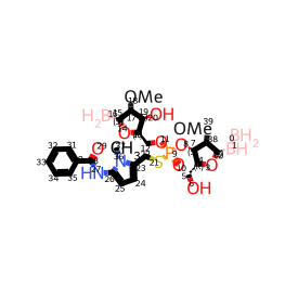 BB[C@@H]1O[C@H](CO)[C@H](OP(=O)(OC[C@H]2O[C@@H](B)C(OC)[C@H]2O)SCc2ccc(NC(=O)c3ccccc3)n2C)C1OC